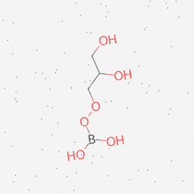 OCC(O)COOB(O)O